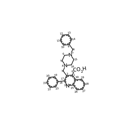 O=C(O)c1c(CN2CCN(Cc3ccccc3)CC2)c(-c2ccccc2)nc2ccccc12